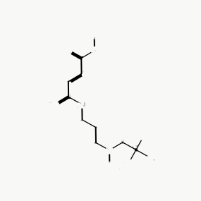 C=C(/C=C/C(=O)NC)NCCCN(C)CC(F)(F)F